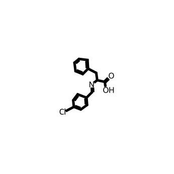 O=C(O)C(Cc1ccccc1)/N=C/c1ccc(Cl)cc1